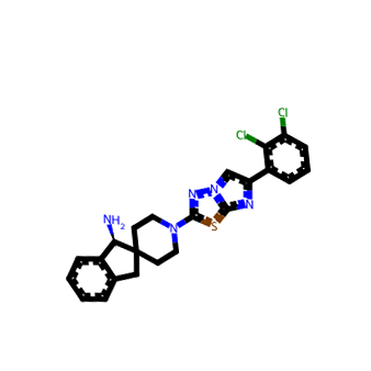 N[C@@H]1c2ccccc2CC12CCN(c1nn3cc(-c4cccc(Cl)c4Cl)nc3s1)CC2